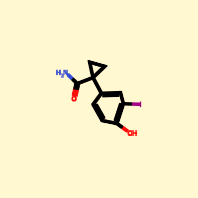 NC(=O)C1(c2ccc(O)c(I)c2)CC1